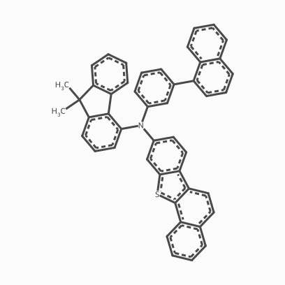 CC1(C)c2ccccc2-c2c(N(c3cccc(-c4cccc5ccccc45)c3)c3ccc4c(c3)sc3c5ccccc5ccc43)cccc21